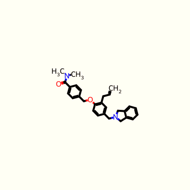 C=CCc1cc(CN2Cc3ccccc3C2)ccc1OCc1ccc(C(=O)N(C)C)cc1